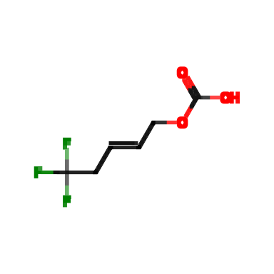 O=C(O)OCC=CCC(F)(F)F